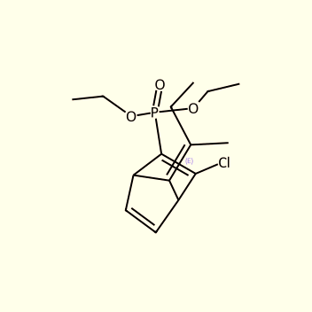 CCOP(=O)(OCC)C1=C(Cl)C2C=CC1/C2=C(/C)CC